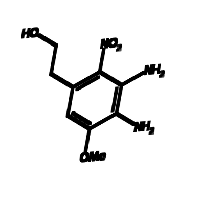 COc1cc(CCO)c([N+](=O)[O-])c(N)c1N